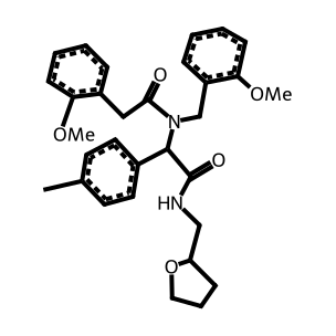 COc1ccccc1CC(=O)N(Cc1ccccc1OC)C(C(=O)NCC1CCCO1)c1ccc(C)cc1